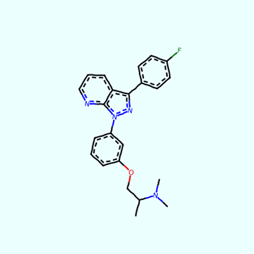 CC(COc1cccc(-n2nc(-c3ccc(F)cc3)c3cccnc32)c1)N(C)C